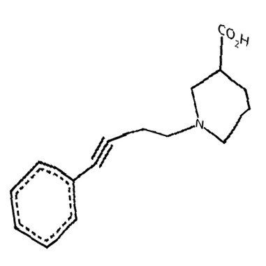 O=C(O)C1CCCN(CCC#Cc2ccccc2)C1